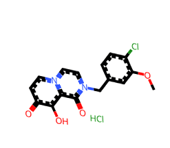 COc1cc(Cn2ccn3ccc(=O)c(O)c3c2=O)ccc1Cl.Cl